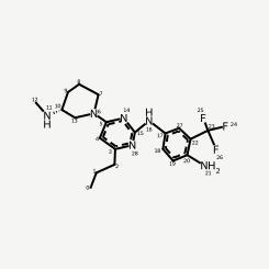 CCCc1cc(N2CCC[C@@H](NC)C2)nc(Nc2ccc(N)c(C(F)(F)F)c2)n1